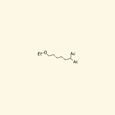 CCOCCCCCC(C(C)=O)C(C)=O